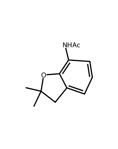 CC(=O)Nc1cccc2c1OC(C)(C)C2